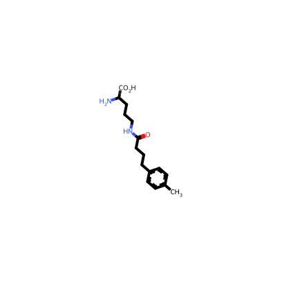 Cc1ccc(CCCC(=O)NCCCC(N)C(=O)O)cc1